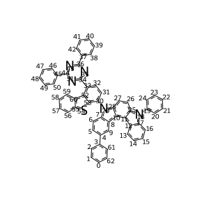 c1ccc(-c2ccc3c(c2)c2c4c5ccccc5n(-c5ccccc5)c4ccc2n3-c2ccc(-c3nc(-c4ccccc4)nc(-c4ccccc4)n3)c3c2sc2ccccc23)cc1